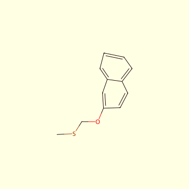 CSCOc1ccc2ccccc2c1